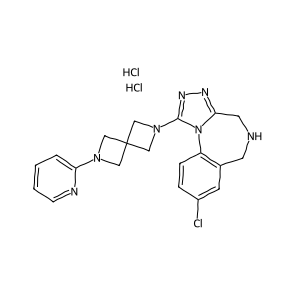 Cl.Cl.Clc1ccc2c(c1)CNCc1nnc(N3CC4(CN(c5ccccn5)C4)C3)n1-2